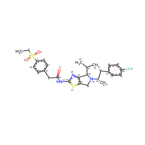 CCS(=O)(=O)c1ccc(CC(=O)Nc2nc3c(s2)CN([C@@H](C)Cc2ccc(F)cc2)C3C(C)C)cc1